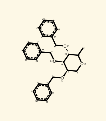 CC1OC[C@@H](OCc2ccccc2)[C@@H](OCc2ccccc2)[C@@H]1OCc1ccccc1